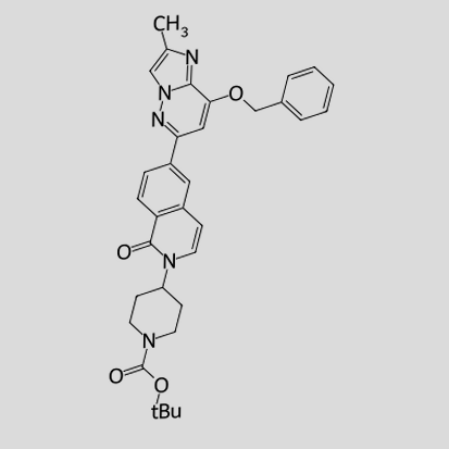 Cc1cn2nc(-c3ccc4c(=O)n(C5CCN(C(=O)OC(C)(C)C)CC5)ccc4c3)cc(OCc3ccccc3)c2n1